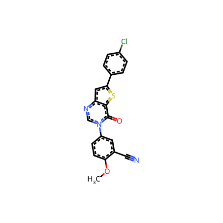 COc1ccc(-n2cnc3cc(-c4ccc(Cl)cc4)sc3c2=O)cc1C#N